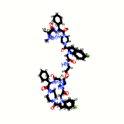 CN[C@@H](C)C(=O)NC(C(=O)N1CCN(C(=O)c2cc3cc(F)ccc3n2CC(=O)NCCOCCNC(=O)Cn2c(C(=O)N3CCN(C(=O)C(NC(=O)[C@H](C)NC)C4CCCCC4)CC3)cc3cc(F)ccc32)CC1)C1CCCCC1